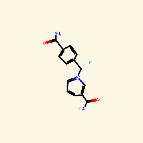 NC(=O)c1ccc(C[n+]2cccc(C(N)=O)c2)cc1.[F-]